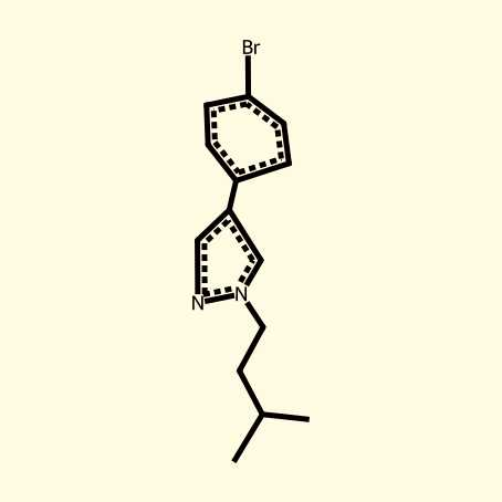 CC(C)CCn1cc(-c2ccc(Br)cc2)cn1